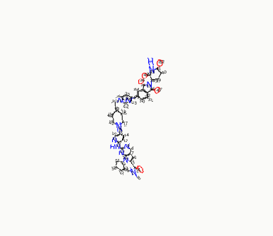 CN(C)C(=O)c1cc2cnc(Nc3ccc(N4CCC(CN5CC6CCC5CN6c5ccc6c(c5)C(=O)N(C5CCC(=O)NC5=O)C6=O)CC4)cn3)nc2n1C1CCCC1